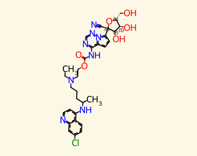 CCN(CCCC(C)Nc1ccnc2cc(Cl)ccc12)CCOC(=O)Nc1ncnn2c([C@]3(C#N)O[C@H](CO)[C@@H](O)[C@H]3O)ccc12